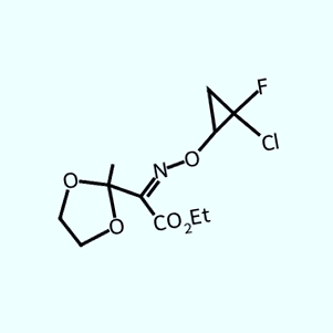 CCOC(=O)C(=NOC1CC1(F)Cl)C1(C)OCCO1